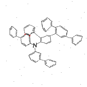 c1ccc(-c2ccc(N(c3cccc(-c4ccccc4)c3)c3ccc(-c4cc(-c5ccccc5)ccc4-c4ccccc4)cc3-c3ccccc3)cc2)cc1